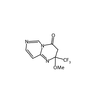 COC1(C(F)(F)F)CC(=O)N2C=NC=CC2=N1